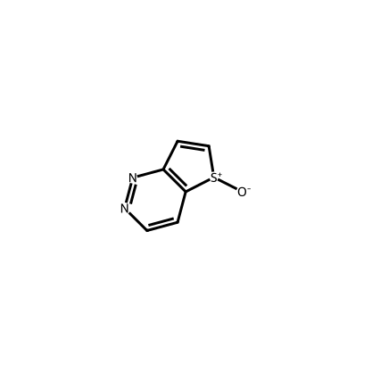 [O-][s+]1ccc2nnccc21